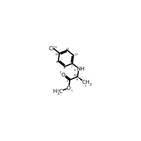 COC(=O)[C@H](C)Nc1ccc(Cl)cc1